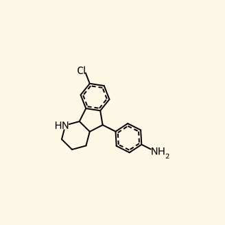 Nc1ccc(C2c3ccc(Cl)cc3C3NCCCC32)cc1